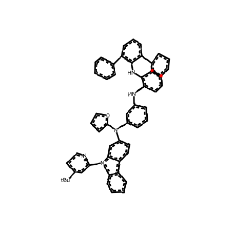 CC(C)(C)c1ccnc(-n2c3ccccc3c3ccc(N(c4cccc(Nc5ccccc5Nc5c(-c6ccccc6)cccc5-c5ccccc5)c4)c4ccco4)cc32)c1